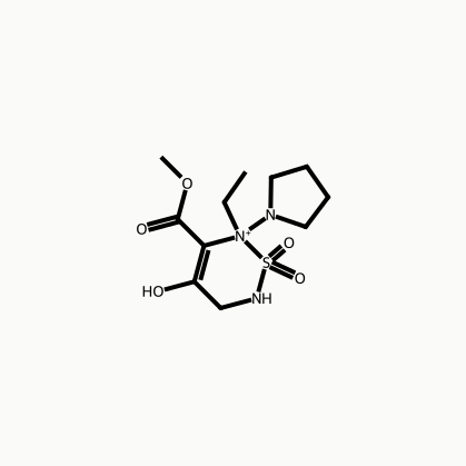 CC[N+]1(N2CCCC2)C(C(=O)OC)=C(O)CNS1(=O)=O